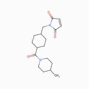 CC1CCN(C(=O)C2CCC(CN3C(=O)C=CC3=O)CC2)CC1